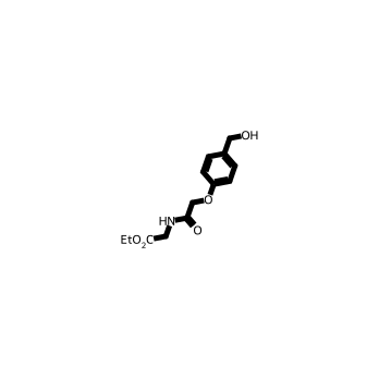 CCOC(=O)CNC(=O)COc1ccc(CO)cc1